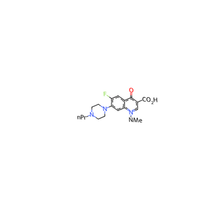 CCCN1CCN(c2cc3c(cc2F)c(=O)c(C(=O)O)cn3NC)CC1